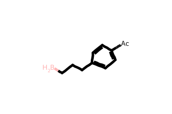 BCCCc1ccc(C(C)=O)cc1